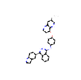 COc1cnc2c(Oc3ccc(Nc4nnc(-c5ccc6[nH]ccc6c5)c5ccccc45)cc3)ccnc2c1